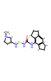 CN1CCC(NSNC(=O)Nc2c3c(cc4c2CCC4)CCC3)C1